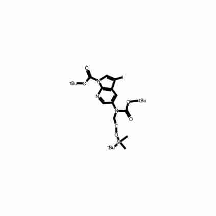 CC(C)(C)OC(=O)N(CCO[Si](C)(C)C(C)(C)C)c1cnc2c(c1)c(I)cn2C(=O)OC(C)(C)C